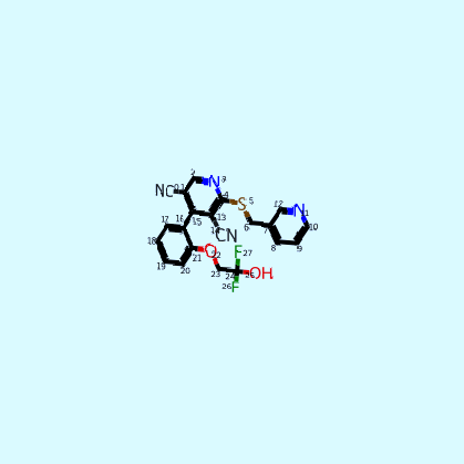 N#Cc1cnc(SCc2cccnc2)c(C#N)c1-c1ccccc1OCC(O)(F)F